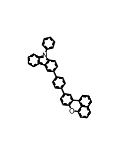 c1ccc(-n2c3ccccc3c3cc(-c4ccc(-c5ccc6c(c5)-c5cccc7cccc(c57)O6)cc4)ccc32)cc1